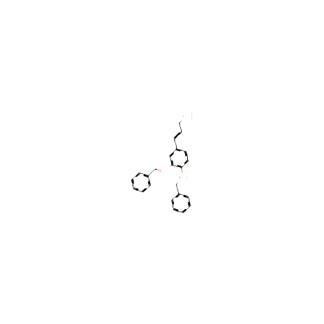 ClC/C=C/c1ccc(OCc2ccccc2)c(OCc2ccccc2)c1